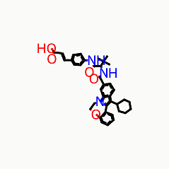 CC(C)(C)C(NC(=O)c1ccc2c(C3CCCCC3)c3n(c2c1)CCOc1ccccc1-3)C(=O)Nc1ccc(C=CC(=O)O)cc1